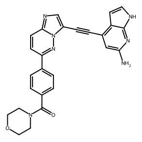 Nc1cc(C#Cc2cnc3ccc(-c4ccc(C(=O)N5CCOCC5)cc4)nn23)c2cc[nH]c2n1